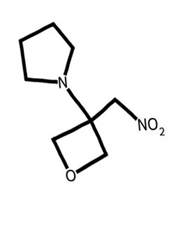 O=[N+]([O-])CC1(N2CCCC2)COC1